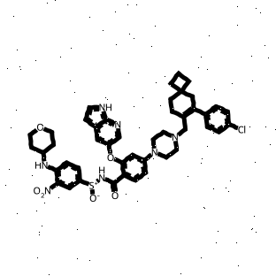 O=C(N[S+]([O-])c1ccc(NC2CCOCC2)c([N+](=O)[O-])c1)c1ccc(N2CCN(CC3=C(c4ccc(Cl)cc4)CC4(CCC4)CC3)CC2)cc1Oc1cnc2[nH]ccc2c1